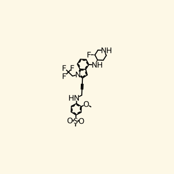 COc1cc(S(C)(=O)=O)ccc1NCC#Cc1cc2c(N[C@@H]3CCNC[C@@H]3F)cccc2n1CC(F)(F)F